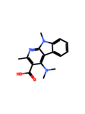 Cc1nc2c(c(N(C)C)c1C(=O)O)c1ccccc1n2C